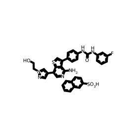 Nc1ncc(-c2cnn(CCO)c2)c2scc(-c3ccc(NC(=O)Nc4cccc(F)c4)cc3)c12.O=S(=O)(O)c1ccc2ccccc2c1